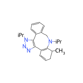 CC1CC=CC2=C1N(C(C)C)Cc1ccccc1-c1c2nnn1C(C)C